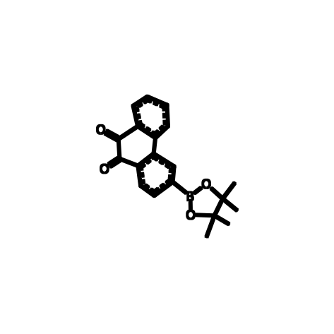 CC1(C)OB(c2ccc3c(c2)-c2ccccc2C(=O)C3=O)OC1(C)C